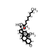 C#C[C@]1(OC(=O)CCCCCCCC)CC[C@H]2[C@@H]3CCC4=CC(=O)CC[C@@H]4[C@H]3C(=C)C[C@@]21CC